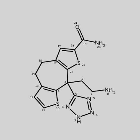 NCCC1(c2nn[nH]n2)c2sccc2CCc2cc(C(N)=O)sc21